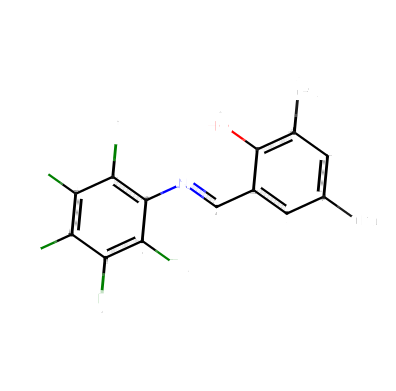 CC(C)(C)c1cc(C=Nc2c(F)c(F)c(F)c(F)c2F)c(O)c(C(C)(C)C)c1